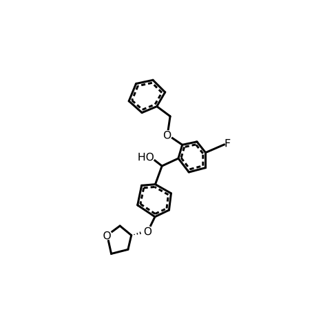 OC(c1ccc(O[C@@H]2CCOC2)cc1)c1ccc(F)cc1OCc1ccccc1